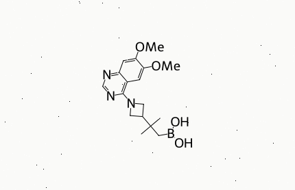 COc1cc2ncnc(N3CC(C(C)(C)CB(O)O)C3)c2cc1OC